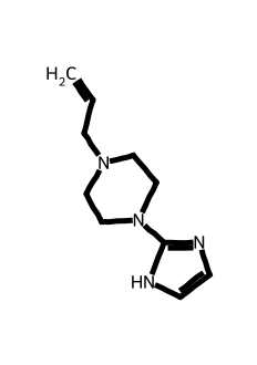 C=CCN1CCN(c2ncc[nH]2)CC1